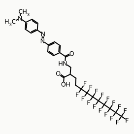 CN(C)c1ccc(/N=N/c2ccc(C(=O)NCC(CCC(F)(F)C(F)(F)C(F)(F)C(F)(F)C(F)(F)C(F)(F)C(F)(F)C(F)(F)F)C(=O)O)cc2)cc1